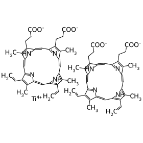 C=CC1=C(C)c2cc3[nH]c(cc4nc(cc5[nH]c(cc1n2)c(C)c5CCC(=O)[O-])C(CCC(=O)[O-])=C4C)c(C)c3C=C.C=CC1=C(C)c2cc3[nH]c(cc4nc(cc5[nH]c(cc1n2)c(C)c5CCC(=O)[O-])C(CCC(=O)[O-])=C4C)c(C)c3C=C.[Ti+4]